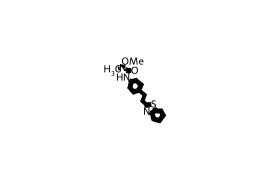 CON(C)C(=O)Nc1ccc(CCc2nc3ccccc3s2)cc1